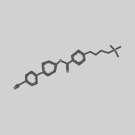 C[Si](C)(C)CCCCc1ccc(C(=O)Oc2ccc(-c3ccc(C#N)cc3)cc2)cc1